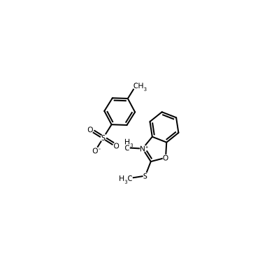 CSc1oc2ccccc2[n+]1C.Cc1ccc(S(=O)(=O)[O-])cc1